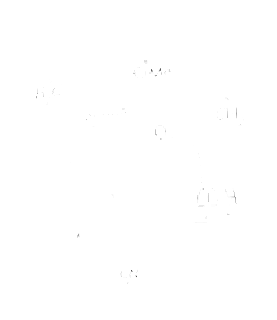 C=C(CC=CC#N)C(=O)OC.C=CC(=O)O